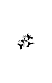 CC(C)NP(N)(=O)N(C(C)C)C(C)C